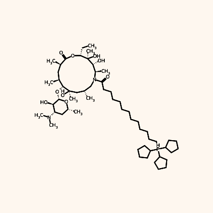 CC[C@H]1OC(=O)[C@H](C)C[C@H](C)[C@@H](O[C@@H]2O[C@H](C)C[C@H](N(C)C)[C@H]2O)[C@](C)(O)C[C@@H](C)CN(C(=O)CCCCCCCCCCCC[PH](C2CCCC2)(C2CCCC2)C2CCCC2)[C@H](C)[C@@H](O)[C@]1(C)O